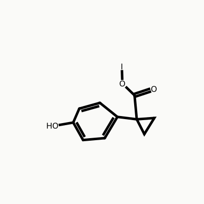 O=C(OI)C1(c2ccc(O)cc2)CC1